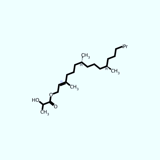 C/C(=C\COC(=O)C(C)O)CCC[C@H](C)CCC[C@H](C)CCCC(C)C